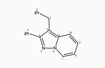 CC(C)Cc1c(C(C)C)nn2ccccc12